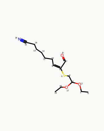 CCOC(CSC(C=O)=CCCCCCC#N)OCC